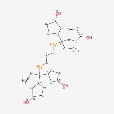 CCC(PCCCPC(CC)(C1CCC(O)C1)C1CCC(O)C1)(C1CCC(O)C1)C1CCC(O)C1